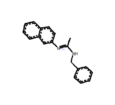 C/C(=N\c1ccc2ccccc2c1)NCc1ccccc1